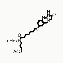 CCCCCCN(CCCOC(C)=O)C(=O)CCCCCCOc1ccc2c(c1)CN1CC(=O)NC1=N2